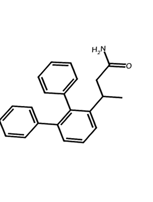 CC(CC(N)=O)c1cccc(-c2ccccc2)c1-c1ccccc1